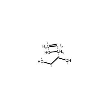 C=C.CO.OCCO